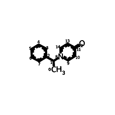 CC(c1ccccc1)n1ccc(=O)cc1